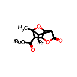 CC(C)COC(=O)C1C2OC(=O)C3C2OC1(C)C3C(C)C